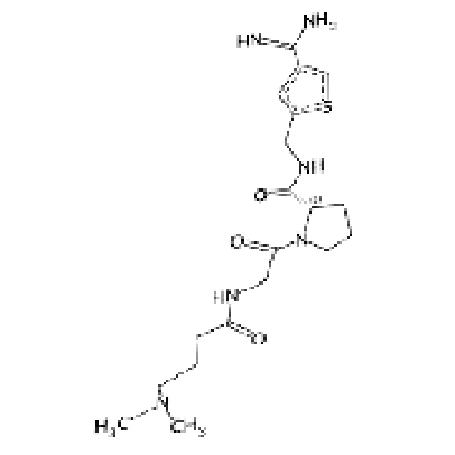 CN(C)CCCC(=O)NCC(=O)N1CCC[C@H]1C(=O)NCc1cc(C(=N)N)cs1